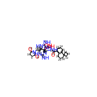 N=C1N[C@H]2[C@H](CN3C(=O)CCC3=O)NC(=N)N3CC(NC(=O)c4cccc5c4CCCC54CCC4)C(O)(O)C23N1